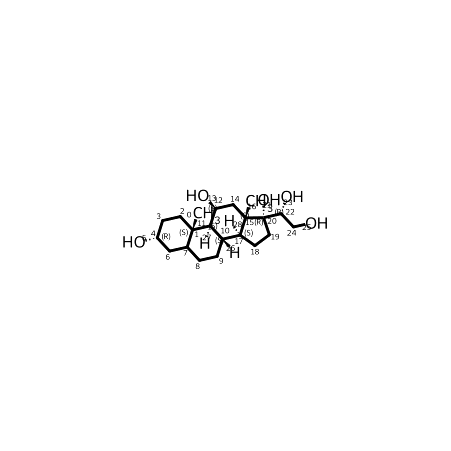 C[C@]12CC[C@@H](O)CC1CC[C@@H]1[C@@H]2[C@@H](O)C[C@@]2(C)[C@H]1CC[C@]2(O)[C@H](O)CO